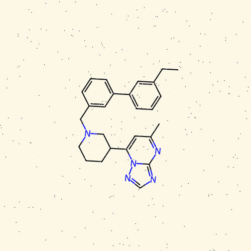 CCc1cccc(-c2cccc(CN3CCCC(c4cc(C)nc5ncnn45)C3)c2)c1